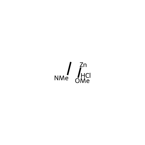 CNC.C[O][Zn].Cl